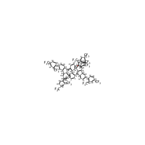 N#Cc1ccc(-n2c3ccc(-c4ccc(C(F)(F)F)cc4C(F)(F)F)cc3c3cc(-c4ccc(C(F)(F)F)cc4C(F)(F)F)ccc32)c(-c2cc(-c3ccc(C(F)(F)F)cc3C(F)(F)F)ccc2-n2c3ccc(-c4ccc(C(F)(F)F)cc4C(F)(F)F)cc3c3cc(-c4ccc(C(F)(F)F)cc4C(F)(F)F)ccc32)c1